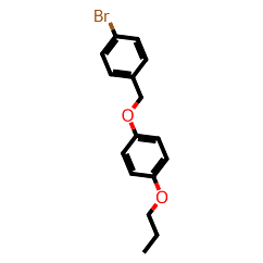 CCCOc1ccc(OCc2ccc(Br)cc2)cc1